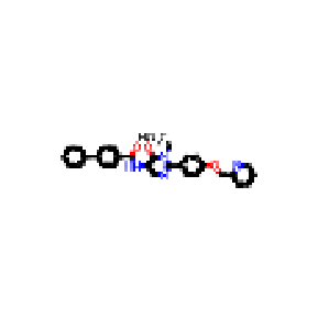 O=C(O)Cn1c(-c2ccc(OCc3ccccn3)cc2)ncc(NC(=O)c2ccc(-c3ccccc3)cc2)c1=O